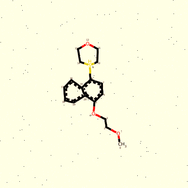 COCCOc1ccc([SH]2CCOCC2)c2ccccc12